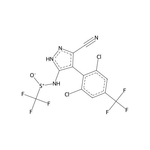 N#Cc1n[nH]c(N[S+]([O-])C(F)(F)F)c1-c1c(Cl)cc(C(F)(F)F)cc1Cl